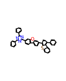 c1ccc(-c2nc(-c3ccccc3)nc(-c3ccc4c(c3)oc3cc(-c5ccc(-c6ccccc6)c6c5sc5ccccc56)ccc34)n2)cc1